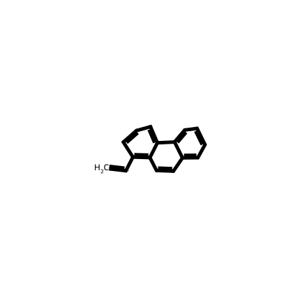 C=[C]c1cccc2c1ccc1ccccc12